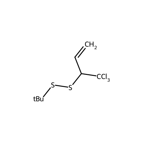 C=CC(SSC(C)(C)C)C(Cl)(Cl)Cl